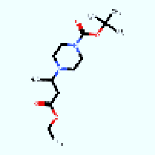 CCOC(=O)CC(C)N1CCN(C(=O)OC(C)(C)C)CC1